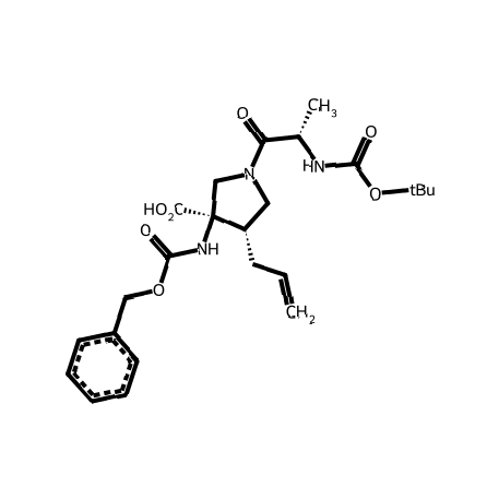 C=CC[C@H]1CN(C(=O)[C@H](C)NC(=O)OC(C)(C)C)C[C@@]1(NC(=O)OCc1ccccc1)C(=O)O